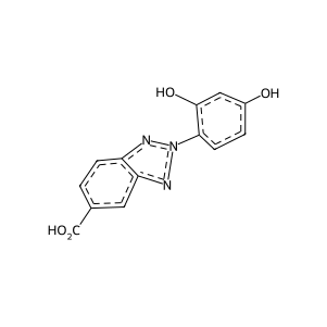 O=C(O)c1ccc2nn(-c3ccc(O)cc3O)nc2c1